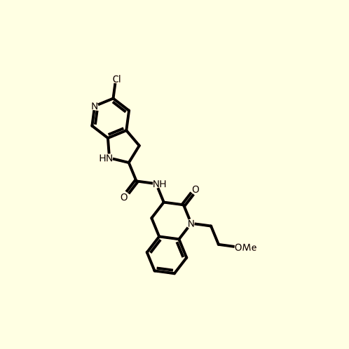 COCCN1C(=O)C(NC(=O)C2Cc3cc(Cl)ncc3N2)Cc2ccccc21